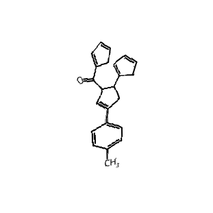 Cc1ccc(C2=CC(C(=O)C3=CC=CC3)C(C3=CC=CC3)C2)cc1